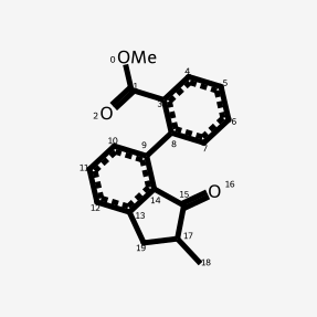 COC(=O)c1ccccc1-c1cccc2c1C(=O)C(C)C2